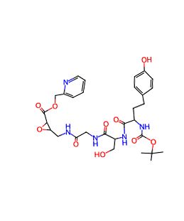 CC(C)(C)OC(=O)NC(CCc1ccc(O)cc1)C(=O)NC(CO)C(=O)NCC(=O)NCC1OC1C(=O)OCc1ccccn1